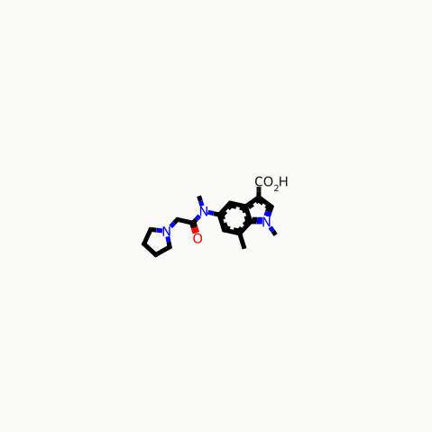 Cc1cc(N(C)C(=O)CN2CCCC2)cc2c(C(=O)O)cn(C)c12